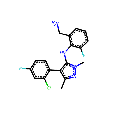 Cc1nn(C)c(Nc2c(F)cccc2CN)c1-c1ccc(F)cc1Cl